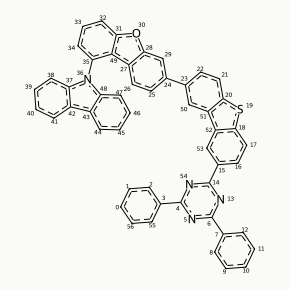 c1ccc(-c2nc(-c3ccccc3)nc(-c3ccc4sc5ccc(-c6ccc7c(c6)oc6cccc(-n8c9ccccc9c9ccccc98)c67)cc5c4c3)n2)cc1